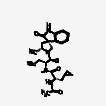 CN(C(=O)[C@H](CC1CC1)NC(=O)C(F)(F)F)[C@@H](CC(C)(C)C)C(=O)N1C[C@]2(C[C@H]1C#N)C(=O)Nc1ccccc12